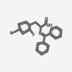 O=C(O)C(Cc1ccc(Br)cc1F)N=C(c1ccccc1)c1ccccc1